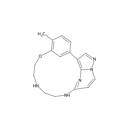 Cc1ccc2cc1OCCNCCNc1ccn3ncc-2c3n1